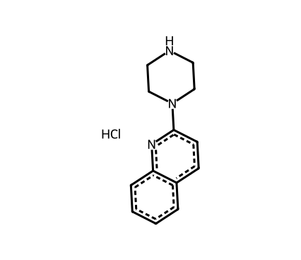 Cl.c1ccc2nc(N3CCNCC3)ccc2c1